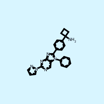 NC1(c2ccc(-c3nc4nc(-n5cccn5)ncc4n3-c3ccccc3)cc2)CCC1